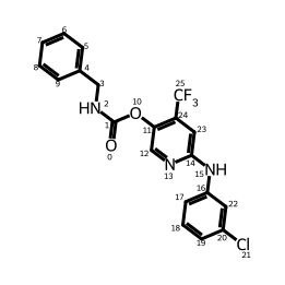 O=C(NCc1ccccc1)Oc1cnc(Nc2cccc(Cl)c2)cc1C(F)(F)F